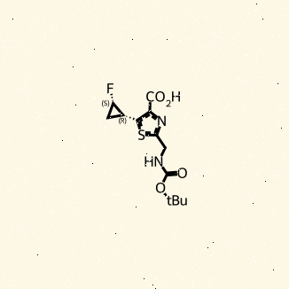 CC(C)(C)OC(=O)NCc1nc(C(=O)O)c([C@@H]2C[C@@H]2F)s1